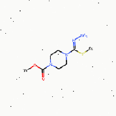 CCS/C(=N\N)N1CCN(C(=O)OC(C)C)CC1